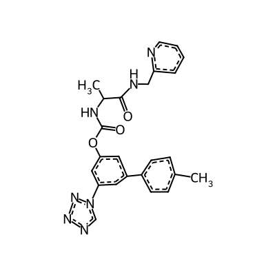 Cc1ccc(-c2cc(OC(=O)NC(C)C(=O)NCc3ccccn3)cc(-n3cnnn3)c2)cc1